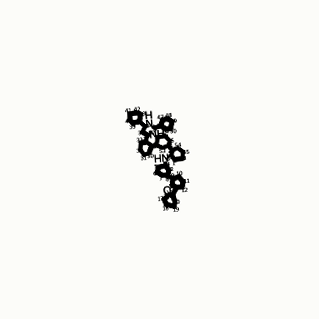 C1=C[C@@H](Nc2cccc(-c3cccc4c3oc3ccccc34)c2)C(C2CCCC(C3=CCCC=C3C3=CC(c4ccccc4)NC(c4ccccc4)N3)C2)CC1